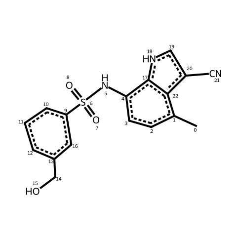 Cc1ccc(NS(=O)(=O)c2cccc(CO)c2)c2[nH]cc(C#N)c12